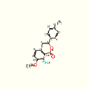 CCCc1ccc(C2Cc3ccc(OCC)c(F)c3C(=O)O2)cc1